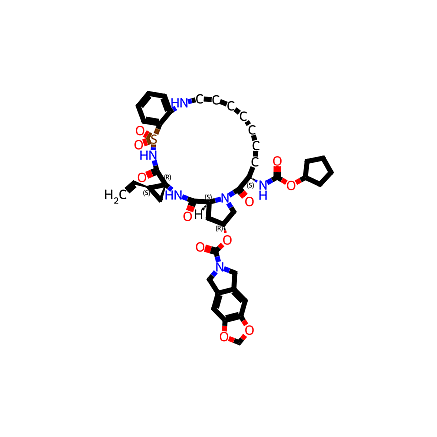 C=C[C@@H]1C[C@@]12NC(=O)[C@@H]1C[C@@H](OC(=O)N3Cc4cc5c(cc4C3)OCO5)CN1C(=O)[C@@H](NC(=O)OC1CCCC1)CCCCCCCNc1ccccc1S(=O)(=O)NC2=O